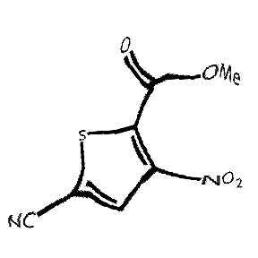 COC(=O)c1sc(C#N)cc1[N+](=O)[O-]